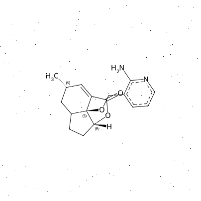 C[C@@H]1C=C2C(=O)O[C@@H]3CCC(C1)[C@]23OCc1cccnc1N